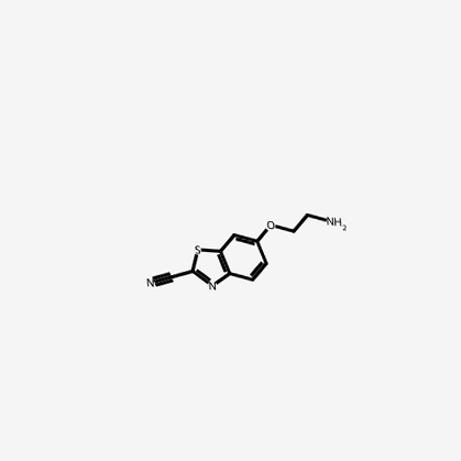 N#Cc1nc2ccc(OCCN)cc2s1